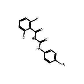 O=C(NC(=O)c1c(Cl)cccc1Cl)Nc1ccc([N+](=O)[O-])cc1